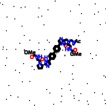 COC(=O)NCC(=O)N(Cc1ncc(-c2ccc(-c3ccc(-c4cnc([C@@H]5CCCN5C(=O)CNC(=O)OC)[nH]4)cc3)cc2)[nH]1)CN(C)C(C)=O